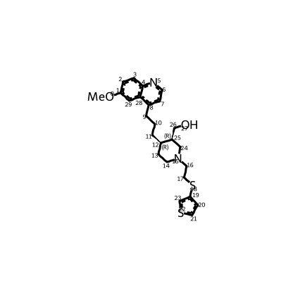 COc1ccc2nccc(CCC[C@@H]3CCN(CCSc4ccsc4)C[C@@H]3CO)c2c1